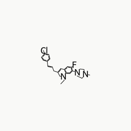 CCN1CC(CC=Cc2ccc(Cl)cc2)=Cc2cc(F)c(N3CCN(C)CC3)cc21